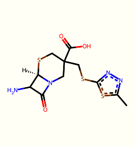 Cc1nnc(SCC2(C(=O)O)CS[C@@H]3C(N)C(=O)N3C2)s1